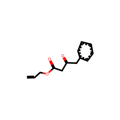 C=CCOC(=O)CC(=O)Cc1ccccc1